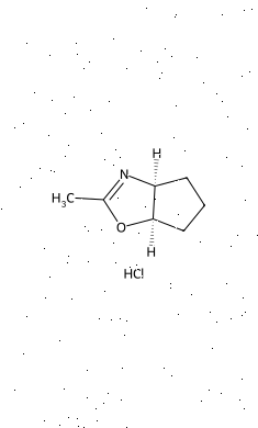 CC1=N[C@H]2CCC[C@H]2O1.Cl